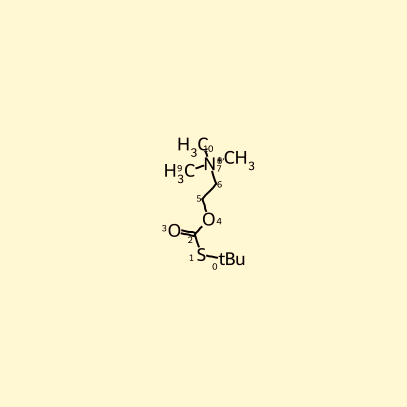 CC(C)(C)SC(=O)OCC[N+](C)(C)C